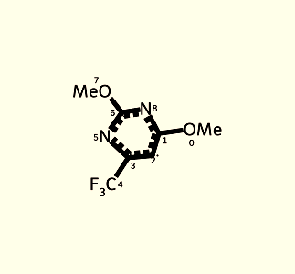 COc1[c]c(C(F)(F)F)nc(OC)n1